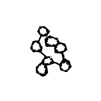 c1ccc(-c2cccc(-c3oc(-c4ccccc4-c4ccc5ccccc5c4)c4ccccc34)c2)cc1